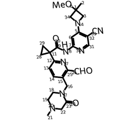 COC1(C)CN(c2cc(NC(=O)C3(c4ccc(CN5CCN(C)CC5=O)c(C=O)n4)CC3)ncc2C#N)C1